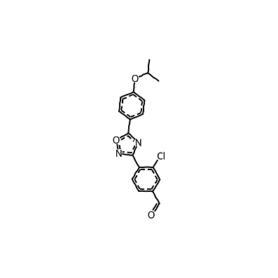 CC(C)Oc1ccc(-c2nc(-c3ccc(C=O)cc3Cl)no2)cc1